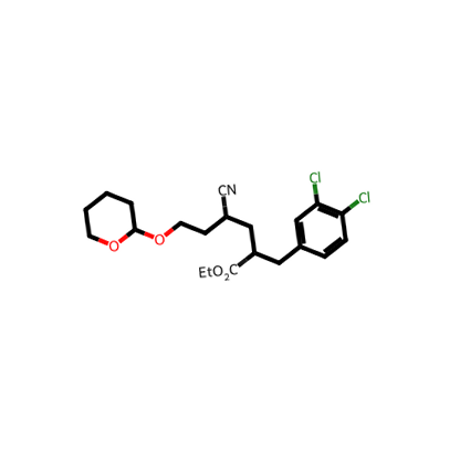 CCOC(=O)C(Cc1ccc(Cl)c(Cl)c1)CC(C#N)CCOC1CCCCO1